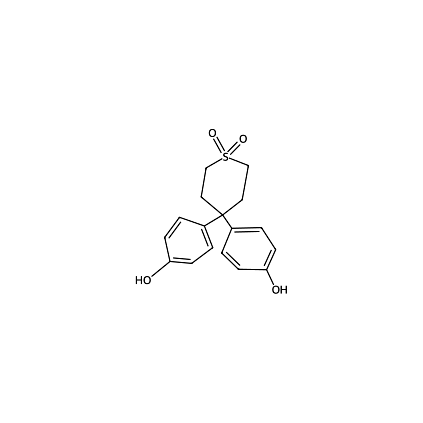 O=S1(=O)CCC(c2ccc(O)cc2)(c2ccc(O)cc2)CC1